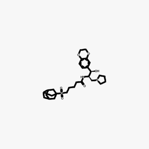 O=C(CCCCS(=O)(=O)C12CC3CC(C1)C(C3)C2)N[C@H](CN1CCCC1)[C@H](O)c1ccc2c(c1)OCCO2